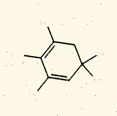 OC1=C(Br)CC(Br)(Br)C=C1Br